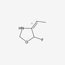 C/C=C1/NCOC1F